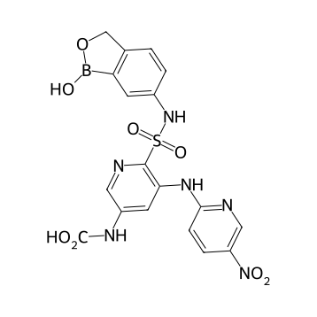 O=C(O)Nc1cnc(S(=O)(=O)Nc2ccc3c(c2)B(O)OC3)c(Nc2ccc([N+](=O)[O-])cn2)c1